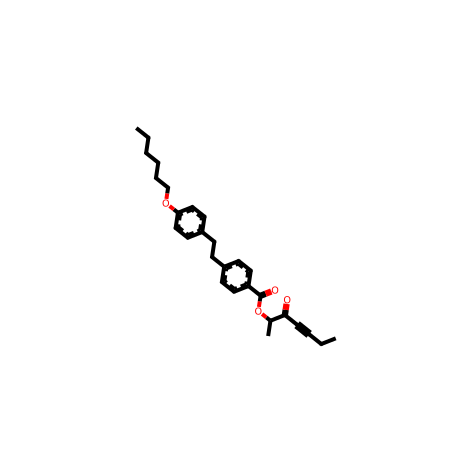 CCC#CC(=O)C(C)OC(=O)c1ccc(CCc2ccc(OCCCCCC)cc2)cc1